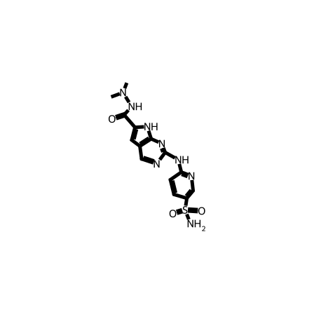 CN(C)NC(=O)c1cc2cnc(Nc3ccc(S(N)(=O)=O)cn3)nc2[nH]1